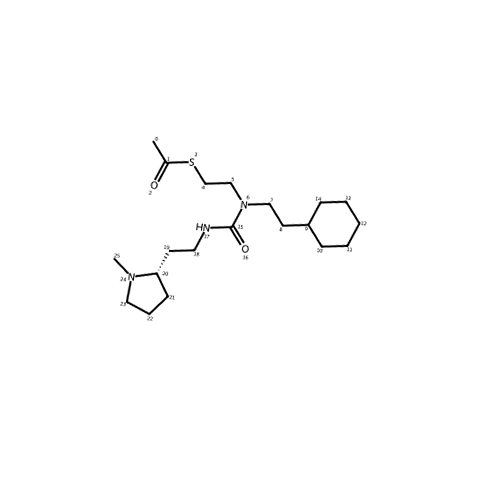 CC(=O)SCCN(CCC1CCCCC1)C(=O)NCC[C@@H]1CCCN1C